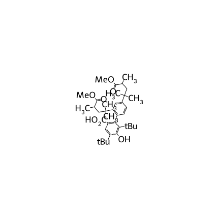 COC(=O)C(C)CC(C)(C)c1ccc(-c2c(C(=O)O)cc(C(C)(C)C)c(O)c2C(C)(C)C)c(C(C)(C)CC(C)C(=O)OC)c1